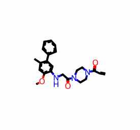 C=CC(=O)N1CCN(C(=O)CNc2cc(-c3ccccc3)c(C)cc2OC)CC1